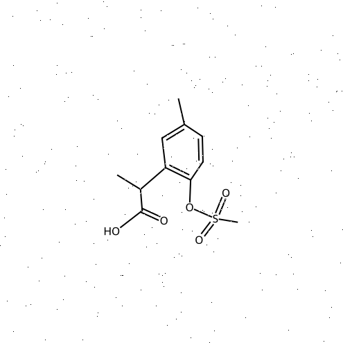 Cc1ccc(OS(C)(=O)=O)c(C(C)C(=O)O)c1